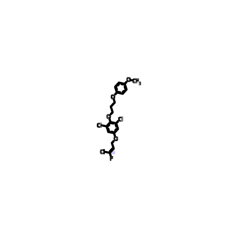 F/C(Cl)=C/COc1cc(Cl)c(OCCCOc2ccc(OC(F)(F)F)cc2)c(Cl)c1